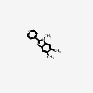 CC1=CC2N=C(c3ccncc3)N(C)C2C=C1C